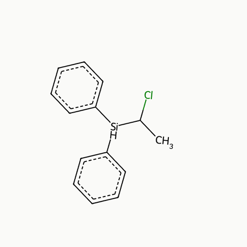 CC(Cl)[SiH](c1ccccc1)c1ccccc1